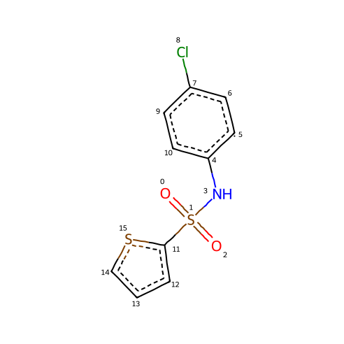 O=S(=O)(Nc1[c]cc(Cl)cc1)c1cccs1